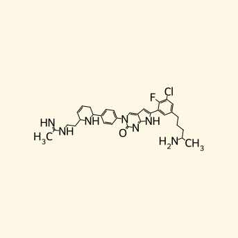 CC(=N)NCCC1C=CCC(c2ccc(-n3cc4cc(-c5cc(CCCC(C)N)cc(Cl)c5F)[nH]c4nc3=O)cc2)N1